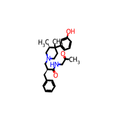 CC(=O)CNC(=O)[C@@H](Cc1ccccc1)CN1CCC(C)(c2cccc(O)c2)[C@@H](C)C1